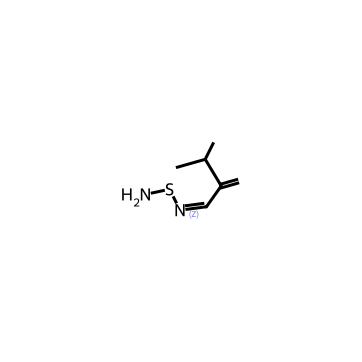 C=C(/C=N\SN)C(C)C